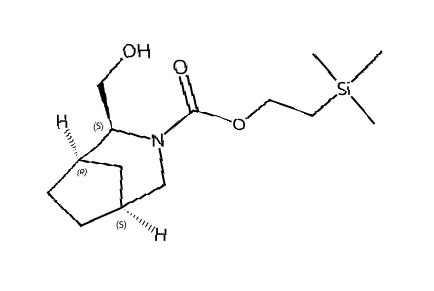 C[Si](C)(C)CCOC(=O)N1C[C@H]2CC[C@H](C2)[C@H]1CO